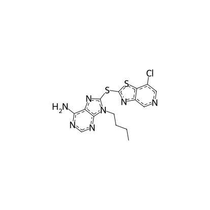 CCCCn1c(Sc2nc3cncc(Cl)c3s2)nc2c(N)ncnc21